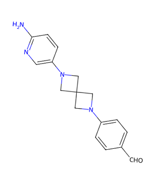 Nc1ccc(N2CC3(CN(c4ccc(C=O)cc4)C3)C2)cn1